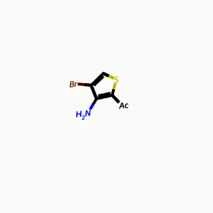 CC(=O)c1scc(Br)c1N